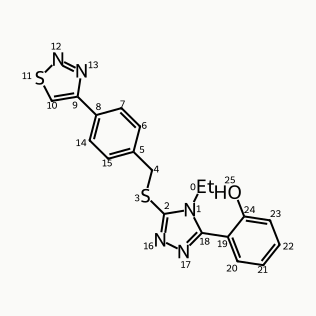 CCn1c(SCc2ccc(-c3csnn3)cc2)nnc1-c1ccccc1O